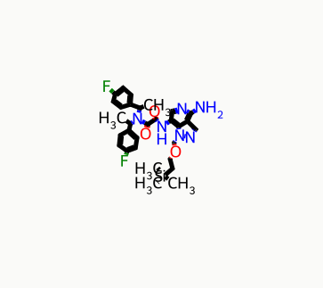 CC(c1ccc(F)cc1)N(C(=O)C(=O)Nc1cnc(N)c2cnn(COCC[Si](C)(C)C)c12)C(C)c1ccc(F)cc1